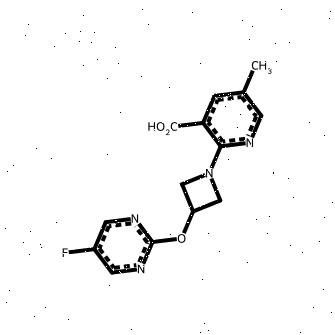 Cc1cnc(N2CC(Oc3ncc(F)cn3)C2)c(C(=O)O)c1